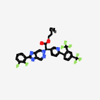 CCCOC(=O)C(c1ccc(-c2ccc(C(F)(F)F)cc2C(F)(F)F)nc1)n1cc2nc(-c3cccc(F)c3F)nc-2cn1